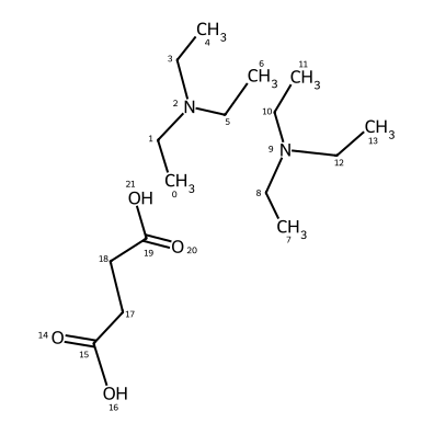 CCN(CC)CC.CCN(CC)CC.O=C(O)CCC(=O)O